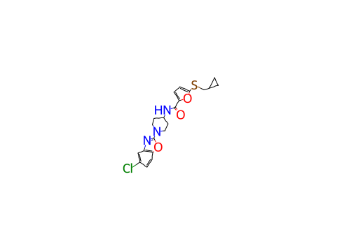 O=C(NC1CCN(c2nc3cc(Cl)ccc3o2)CC1)c1ccc(SCC2CC2)o1